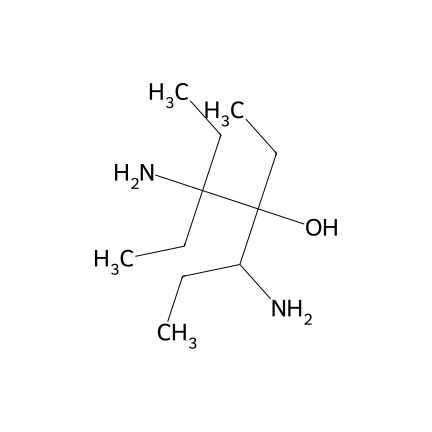 CCC(N)C(O)(CC)C(N)(CC)CC